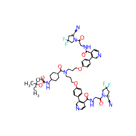 CC(C)(C)OC(=O)NC1CCC(C(=O)N(CCCOc2ccc(-c3cnccc3C(=O)NCC(=O)N3CC(F)(F)C[C@H]3C#N)cc2)CCCOc2ccc(-c3cnccc3C(=O)NCC(=O)N3CC(F)(F)C[C@H]3C#N)cc2)CC1